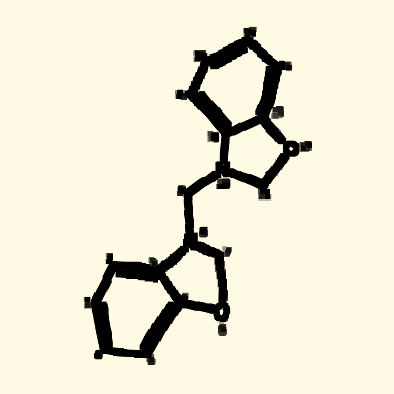 c1ccc2c(c1)OCN2CN1COc2ccccc21